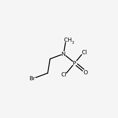 CN(CCBr)P(=O)(Cl)Cl